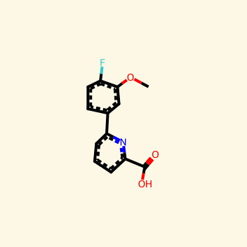 COc1cc(-c2cccc(C(=O)O)n2)ccc1F